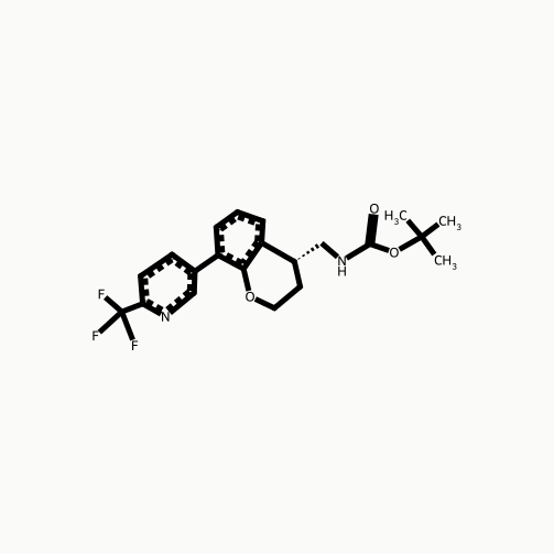 CC(C)(C)OC(=O)NC[C@@H]1CCOc2c(-c3ccc(C(F)(F)F)nc3)cccc21